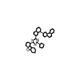 c1ccc(-c2nc(-c3ccc4cccc(-c5ccc6ccc7ccccc7c6c5)c4c3)nc(-c3cccc4oc5ccccc5c34)n2)cc1